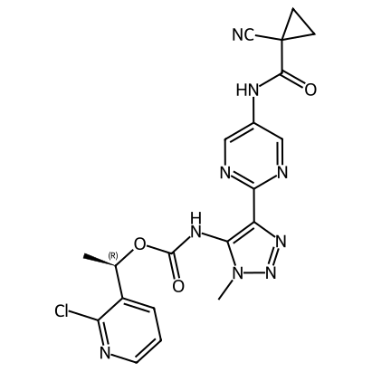 C[C@@H](OC(=O)Nc1c(-c2ncc(NC(=O)C3(C#N)CC3)cn2)nnn1C)c1cccnc1Cl